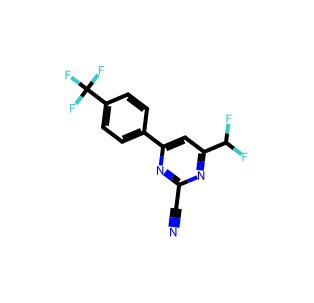 N#Cc1nc(-c2ccc(C(F)(F)F)cc2)cc(C(F)F)n1